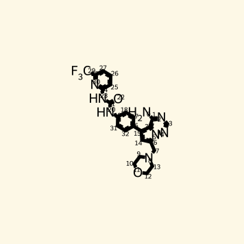 Nc1ncnn2c(CN3CCOCC3)cc(-c3ccc(NC(=O)Nc4cccc(C(F)(F)F)n4)cc3)c12